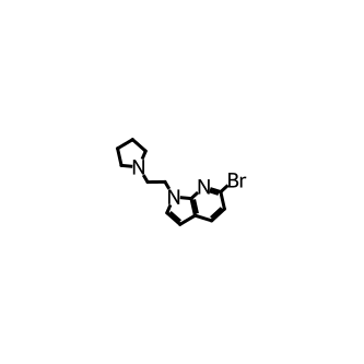 Brc1ccc2ccn(CCN3CCCC3)c2n1